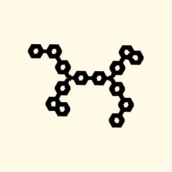 c1ccc(-c2cccc(-c3ccc(N(c4ccc(-c5ccc(N(c6ccc(-c7cccc(-c8ccccc8)c7)cc6)c6ccc(-c7cccc8ccccc78)cc6)cc5)cc4)c4ccc(-c5cccc6ccccc56)cc4)cc3)c2)cc1